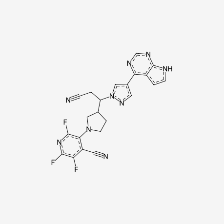 N#CCC(C1CCN(c2c(F)nc(F)c(F)c2C#N)C1)n1cc(-c2ncnc3[nH]ccc23)cn1